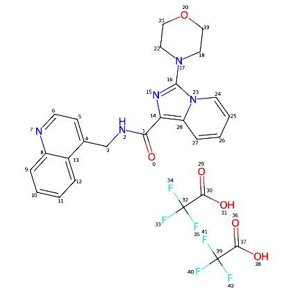 O=C(NCc1ccnc2ccccc12)c1nc(N2CCOCC2)n2ccccc12.O=C(O)C(F)(F)F.O=C(O)C(F)(F)F